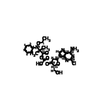 CCON(c1ccccc1)C(C)(C)C(=O)OP(=O)(O)O[C@H]1C[C@H](n2cnc3c(N)nc(Cl)nc32)O[C@@H]1CO